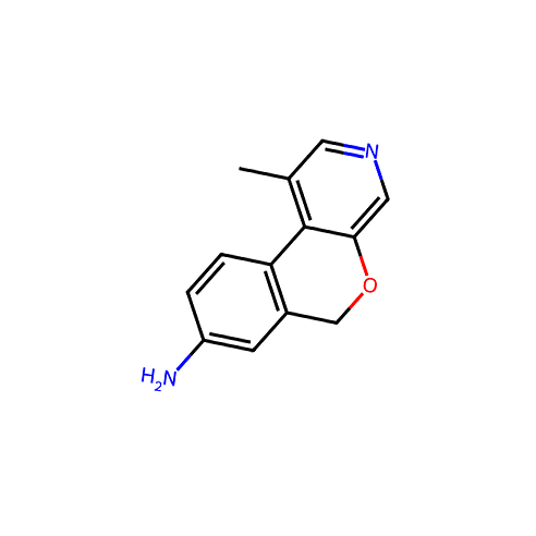 Cc1cncc2c1-c1ccc(N)cc1CO2